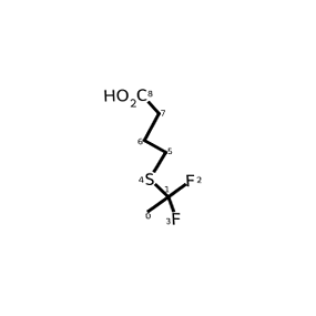 CC(F)(F)SCCCC(=O)O